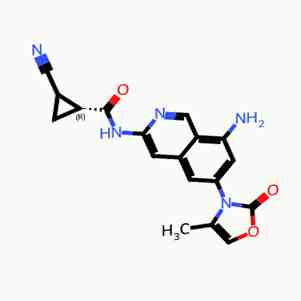 Cc1coc(=O)n1-c1cc(N)c2cnc(NC(=O)[C@@H]3CC3C#N)cc2c1